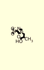 CC(Cn1cnc([N+](=O)[O-])c1)C(=O)O